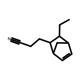 CCC1C2C=CC(C2)C1CCC#N